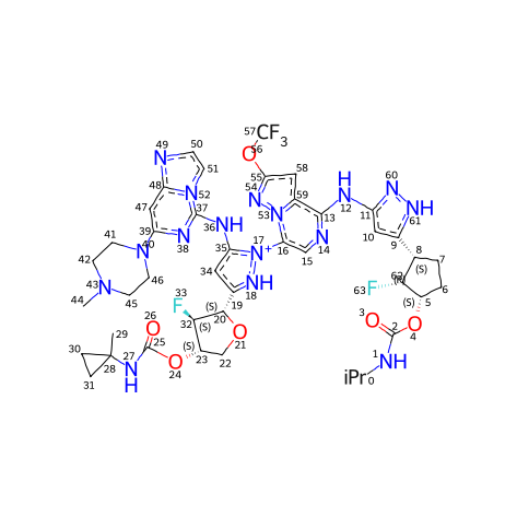 CC(C)NC(=O)O[C@H]1CC[C@@H](c2cc(Nc3ncc(-[n+]4[nH]c([C@@H]5OC[C@H](OC(=O)NC6(C)CC6)[C@H]5F)cc4Nc4nc(N5CCN(C)CC5)cc5nccn45)n4nc(OC(F)(F)F)cc34)n[nH]2)[C@H]1F